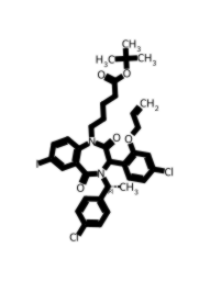 C=CCOc1cc(Cl)ccc1C1C(=O)N(CCCCC(=O)OC(C)(C)C)c2ccc(I)cc2C(=O)N1[C@H](C)c1ccc(Cl)cc1